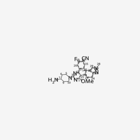 COc1nc(N2CCC(N)CC2)nc(-c2ccc(C#N)c(F)c2)c1-c1ccc2nn(C)cc2c1